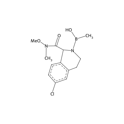 CON(C)C(=O)C1c2ccc(Cl)cc2CCN1B(C)O